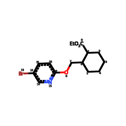 CCOC(=O)C1CCCCC1COc1ccc(Br)cn1